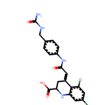 NC(=O)NCc1ccc(NC(=O)C=C2CC(C(=O)O)Nc3cc(Cl)cc(Cl)c32)cc1